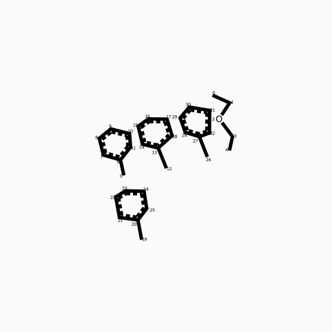 CCOCC.Cc1ccccc1.Cc1ccccc1.Cc1ccccc1.Cc1ccccc1